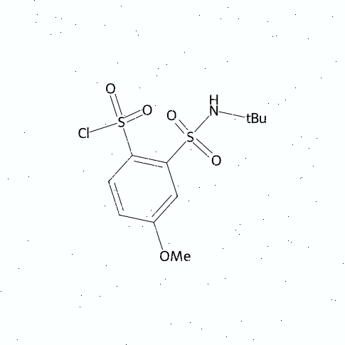 COc1ccc(S(=O)(=O)Cl)c(S(=O)(=O)NC(C)(C)C)c1